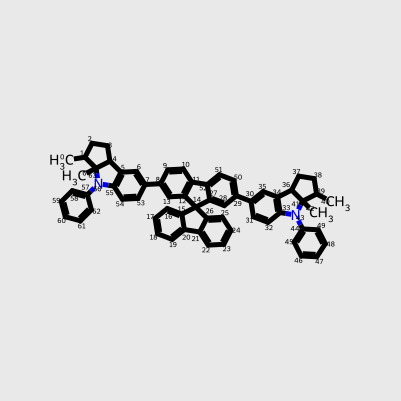 CC1CCC2c3cc(-c4ccc5c(c4)C4(c6ccccc6-c6ccccc64)c4cc(-c6ccc7c(c6)C6CCC(C)C6(C)N7c6ccccc6)ccc4-5)ccc3N(c3ccccc3)C12C